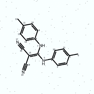 Cc1ccc(NC(Nc2ccc(C)cc2)=C(C#N)C#N)cc1